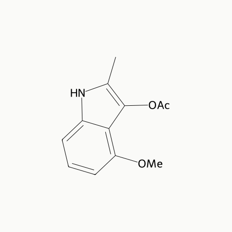 COc1cccc2[nH]c(C)c(OC(C)=O)c12